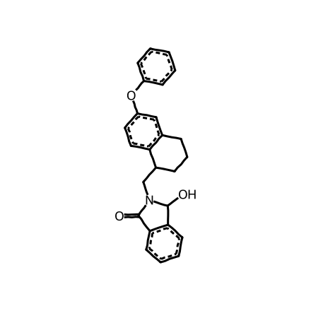 O=C1c2ccccc2C(O)N1CC1CCCc2cc(Oc3ccccc3)ccc21